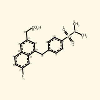 CN(C)S(=O)(=O)c1ccc(Cc2cc(CC(=O)O)cc3ccc(F)cc23)cc1